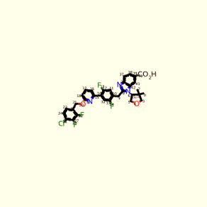 CC1(C)COC[C@H]1n1c(Cc2cc(F)c(-c3cccc(OCc4ccc(Cl)c(F)c4F)n3)cc2F)nc2ccc(C(=O)O)cc21